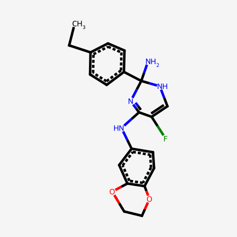 CCc1ccc(C2(N)N=C(Nc3ccc4c(c3)OCCO4)C(F)=CN2)cc1